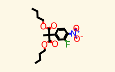 CCCCOC(=O)C(C)(C(=O)OCCCC)c1ccc([N+](=O)[O-])c(F)c1